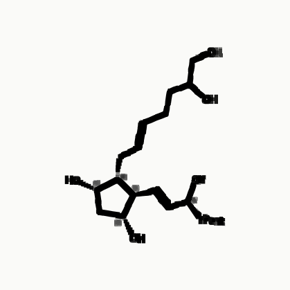 CCCCC[C@H](O)C=C[C@@H]1[C@@H](CC=CCCC(O)CO)[C@@H](O)C[C@H]1O